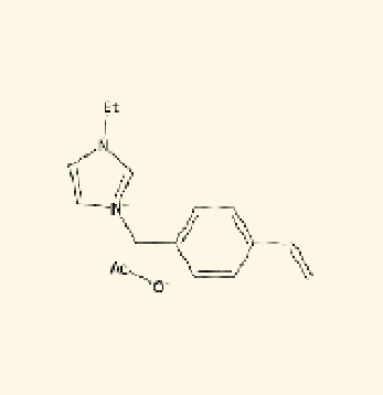 C=Cc1ccc(C[n+]2ccn(CC)c2)cc1.CC(=O)[O-]